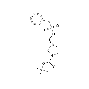 CC(C)(C)OC(=O)N1CC[C@H](COS(=O)(=O)Cc2ccccc2)C1